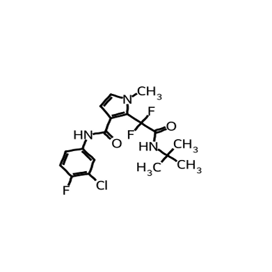 Cn1ccc(C(=O)Nc2ccc(F)c(Cl)c2)c1C(F)(F)C(=O)NC(C)(C)C